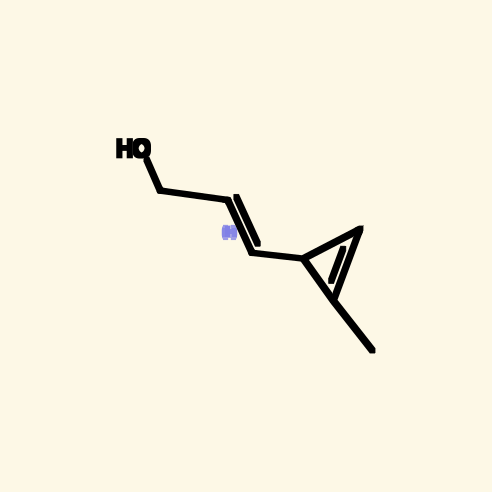 CC1=CC1/C=C/CO